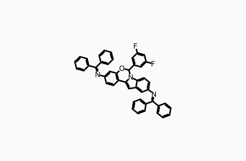 Fc1cc(F)cc(C2Oc3cc(N=C(c4ccccc4)c4ccccc4)ccc3-c3cc4cc(N=C(c5ccccc5)c5ccccc5)ccc4n32)c1